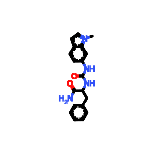 Cn1ccc2ccc(NC(=O)NC(Cc3ccccc3)C(N)=O)cc21